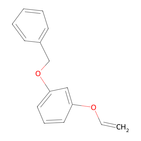 C=COc1cccc(OCc2ccccc2)c1